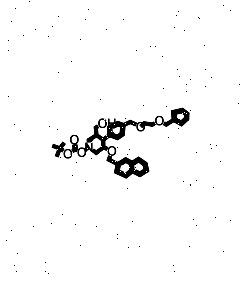 CC(C)(C)OC(=O)ON1CC(CO)C(c2ccc(COCCOCc3ccccc3)cc2)C(OCc2ccc3ccccc3c2)C1